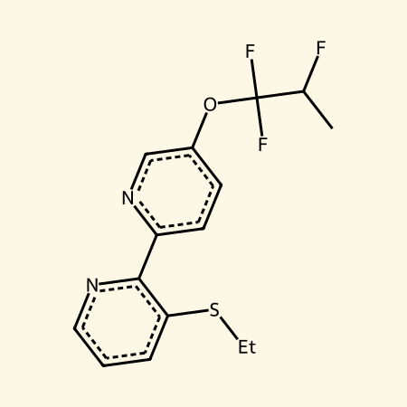 CCSc1cccnc1-c1ccc(OC(F)(F)C(C)F)cn1